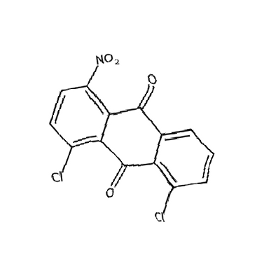 O=C1c2c(Cl)cccc2C(=O)c2c([N+](=O)[O-])ccc(Cl)c21